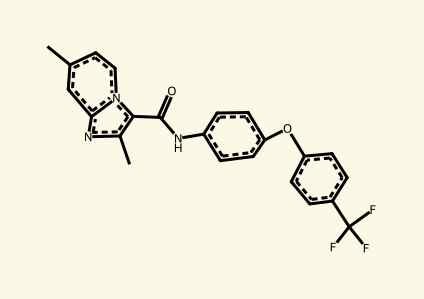 Cc1ccn2c(C(=O)Nc3ccc(Oc4ccc(C(F)(F)F)cc4)cc3)c(C)nc2c1